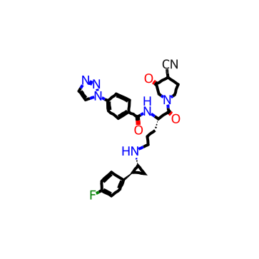 N#CC1CCN(C(=O)[C@H](CCCN[C@@H]2C[C@H]2c2ccc(F)cc2)NC(=O)c2ccc(-n3ccnn3)cc2)CC1=O